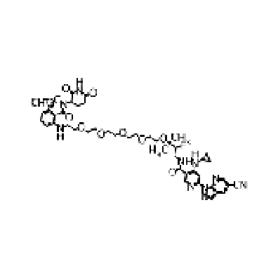 CN(C(=O)c1c(C=O)cccc1NCCOCCOCCOCCOCCOC(C)(C)C(F)CNC(=O)c1cnc(-n2ncc3cc(C#N)cnc32)cc1NC1CC1)C1CCC(=O)NC1=O